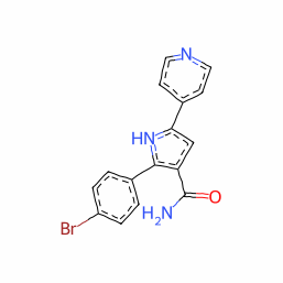 NC(=O)c1cc(-c2ccncc2)[nH]c1-c1ccc(Br)cc1